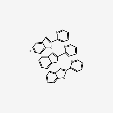 [Ir].c1ccc(-c2cc3ccccc3s2)nc1.c1ccc(-c2cc3ccccc3s2)nc1.c1ccc(-c2cc3ccccc3s2)nc1